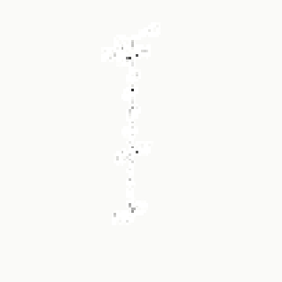 O=[C]CCC(NC(=O)CCOCCOCCOCCOCCNC(=O)CCCCCCCCC(=O)O)C(=O)O